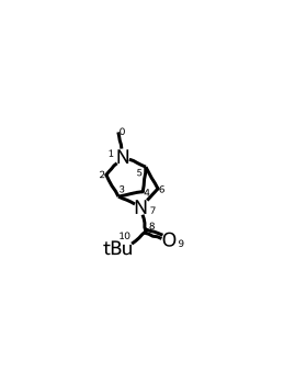 CN1CC2CC1CN2C(=O)C(C)(C)C